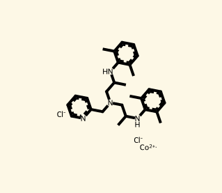 Cc1cccc(C)c1NC(C)CN(Cc1ccccn1)CC(C)Nc1c(C)cccc1C.[Cl-].[Cl-].[Co+2]